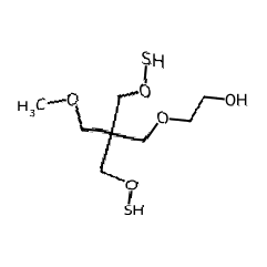 COCC(COS)(COS)COCCO